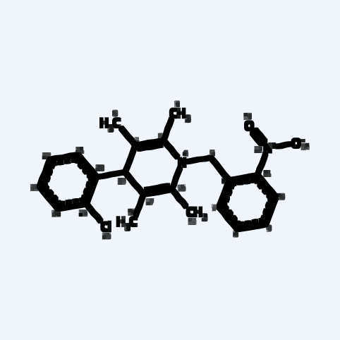 CC1=C(C)N(Cc2ccccc2[N+](=O)[O-])C(C)=C(C)C1c1ccccc1Cl